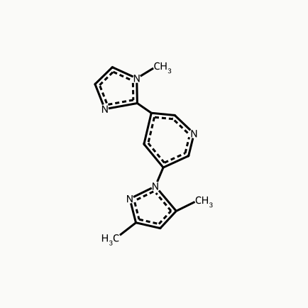 Cc1cc(C)n(-c2cncc(-c3nccn3C)c2)n1